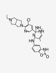 CCN1CC2CN(c3ncc(C4(N)N=C(Nc5ccc6oc(=O)[nH]c6c5)C(C)=CN4)cc3Cl)CC2C1